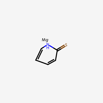 S=c1cccc[nH]1.[Mg]